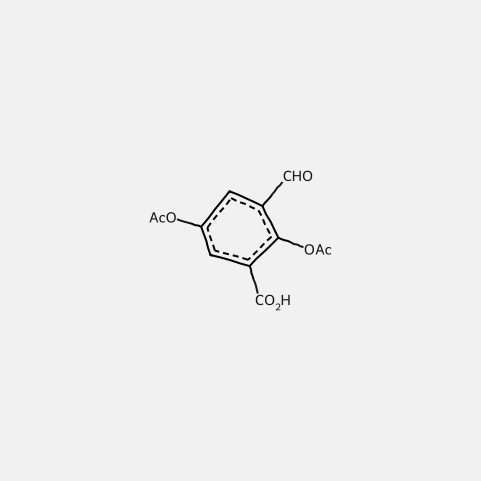 CC(=O)Oc1cc(C=O)c(OC(C)=O)c(C(=O)O)c1